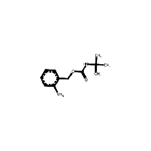 Cc1ccccc1COC(=O)NC(C)(C)C